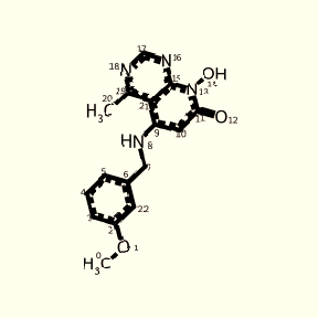 COc1cccc(CNc2cc(=O)n(O)c3ncnc(C)c23)c1